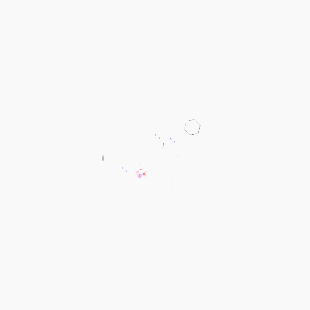 CC(C)C[C@H](N)OBO[C@H](COC(=O)[C@H](Cc1ccc(O)cc1)NC(=O)N1CCOCC1)[C@@H](O)[C@H](O)[C@H](O)CO